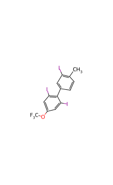 Cc1ccc(-c2c(I)cc(OC(F)(F)F)cc2I)cc1I